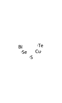 [Bi].[Cu].[S].[Se].[Te]